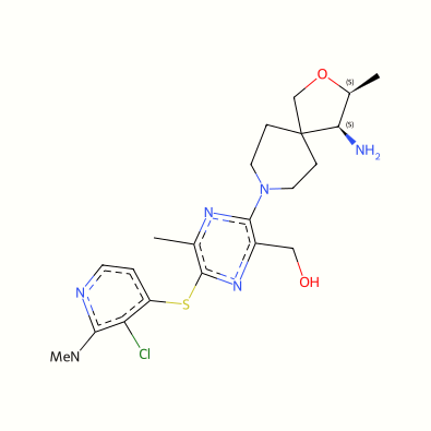 CNc1nccc(Sc2nc(CO)c(N3CCC4(CC3)CO[C@@H](C)[C@H]4N)nc2C)c1Cl